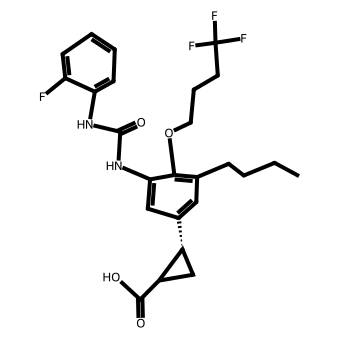 CCCCc1cc([C@@H]2CC2C(=O)O)cc(NC(=O)Nc2ccccc2F)c1OCCCC(F)(F)F